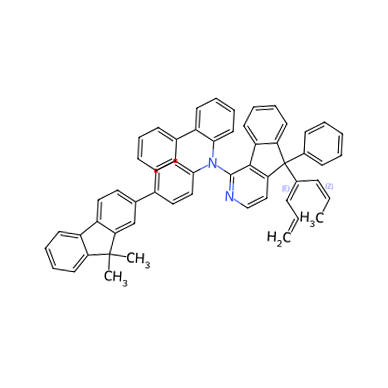 C=C/C=C(\C=C/C)C1(c2ccccc2)c2ccccc2-c2c1ccnc2N(c1ccc(-c2ccc3c(c2)C(C)(C)c2ccccc2-3)cc1)c1ccccc1-c1ccccc1